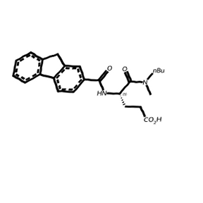 CCCCN(C)C(=O)[C@H](CCC(=O)O)NC(=O)c1ccc2c(c1)Cc1ccccc1-2